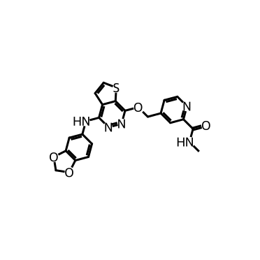 CNC(=O)c1cc(COc2nnc(Nc3ccc4c(c3)OCO4)c3ccsc23)ccn1